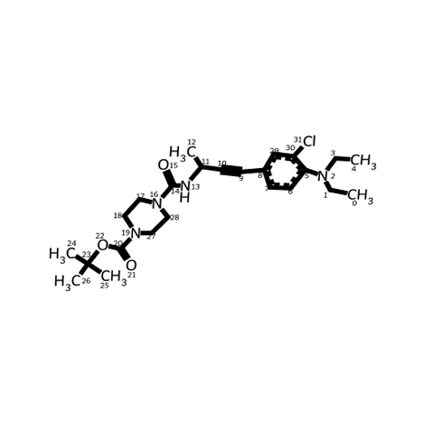 CCN(CC)c1ccc(C#CC(C)NC(=O)N2CCN(C(=O)OC(C)(C)C)CC2)cc1Cl